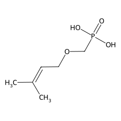 CC(C)=CCOCP(=O)(O)O